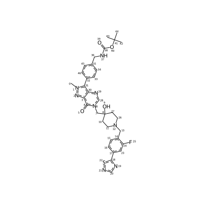 Cn1nc2c(=O)n(CC3(O)CCN(Cc4ccc(-c5ncns5)cc4F)CC3)cnc2c1-c1ccc(CNC(=O)OC(C)(C)C)cc1